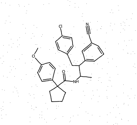 COc1ccc(C2(C(=O)NC(C)C(Cc3ccc(Cl)cc3)c3cccc(C#N)c3)CCCC2)cc1